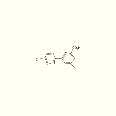 O=C(O)c1cc(I)cc(-c2ccc(Cl)cn2)c1